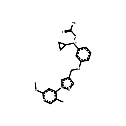 COc1cc(-n2cc(COc3cccc([C@@H](CC(=O)O)C4CC4)c3)cn2)c(F)cn1